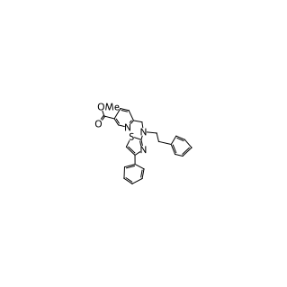 COC(=O)c1ccc(CN(CCc2ccccc2)c2nc(-c3ccccc3)cs2)nc1